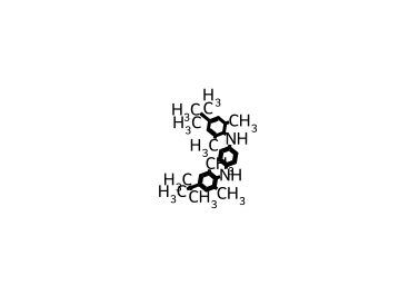 CC1=CC(C(C)(C)C)=CC(C)C1Nc1ccc(Nc2c(C)cc(C(C)(C)C)cc2C)cc1